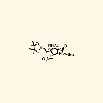 CC(=O)N[C@@]1(C(=O)NC(C)(C)C)C[C@H](CCB2OC(C)(C)C(C)(C)O2)[C@@H](C[N+](=O)[O-])C1